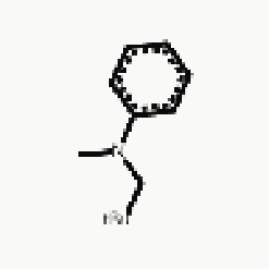 CN(CC(C)(C)C)c1ccccc1